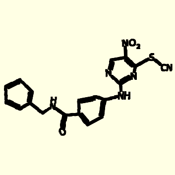 N#CSc1nc(Nc2ccc(C(=O)NCc3ccccc3)cc2)ncc1[N+](=O)[O-]